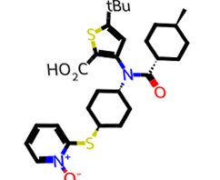 CC(C)(C)c1cc(N(C(=O)[C@H]2CC[C@H](C)CC2)[C@H]2CC[C@H](Sc3cccc[n+]3[O-])CC2)c(C(=O)O)s1